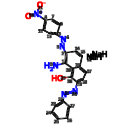 Nc1c(N=Nc2ccc([N+](=O)[O-])cc2)ccc2ccc(N=Nc3ccccc3)c(O)c12.[NaH].[NaH]